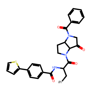 CC(C)CC(NC(=O)c1ccc(-c2cccs2)cc1)C(=O)N1CCC2C1C(=O)CN2C(=O)c1ccccc1